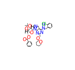 CC1(C)O[C@@H]2[C@H](O1)[C@@H](COC(=O)c1ccccc1)O[C@H]2n1ncc2c(NCc3ccccc3Cl)nc(COC3CCCCO3)nc21